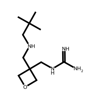 CC(C)(C)CNCC1(CNC(=N)N)COC1